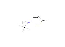 CCC(C)(C)NC/C=C\C(C)S